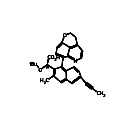 CC#Cc1ccc2c(-c3ccc4c5c(ccnc35)CCO4)c([C@@H](OC(C)(C)C)C(=O)O)c(C)cc2c1